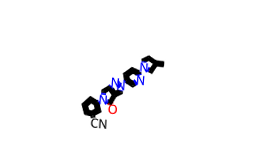 C=C1CCN(c2ccc(-n3cc4c(n3)CN(c3cccc(C#N)c3)C4=O)cn2)C1